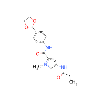 CCC(=O)Nc1cc(C(=O)Nc2ccc(C3OCCO3)cc2)n(C)c1